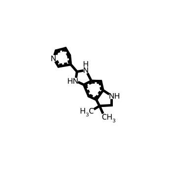 CC1(C)CNc2cc3c(cc21)NC(c1cccnc1)N3